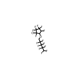 FC(F)C(F)(F)C(F)(F)C(F)(F)COC1C(F)C(F)(F)C(F)(F)C1(F)Cl